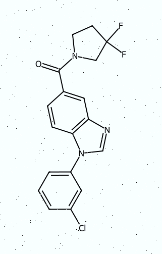 O=C(c1ccc2c(c1)ncn2-c1cccc(Cl)c1)N1CCC(F)(F)C1